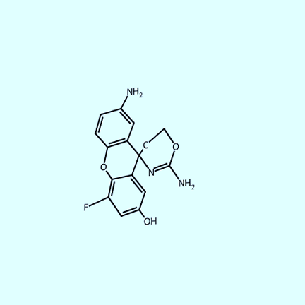 NC1=NC2(CCO1)c1cc(N)ccc1Oc1c(F)cc(O)cc12